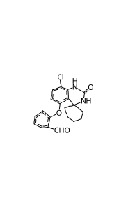 O=Cc1ccccc1Oc1ccc(Cl)c2c1C1(CCCCC1)NC(=O)N2